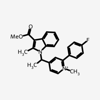 COC(=O)c1c(C)n(C(C)c2cc[n+](C)c(-c3ccc(F)cc3)c2)c2ccccc12